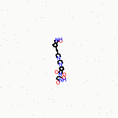 O=C1CCC(N2C(=O)c3ccc(N4CCC(N5CCC(C#Cc6ccc7c(c6)C(=O)NC7)CC5)CC4)cc3C2=O)C(=O)N1